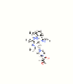 Cc1nc2c(C)nnc(N[C@H](C)c3cccc(C(F)(F)F)c3)c2cc1N1CCN(C(=O)C2COC2)CC1